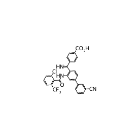 N#Cc1cccc(-c2ccc(C(=N)c3ccc(C(=O)O)cc3)c(NC(=O)c3c(Cl)cccc3C(F)(F)F)c2)c1